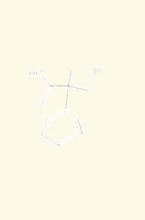 CC(CBr)(C(=O)O)c1ccccc1